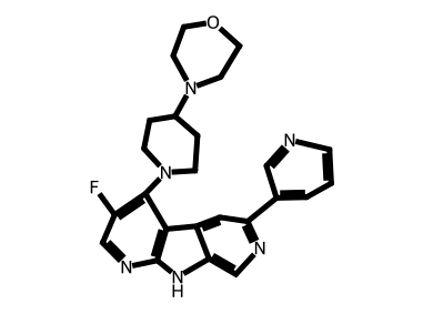 Fc1cnc2[nH]c3cnc(-c4cccnc4)cc3c2c1N1CCC(N2CCOCC2)CC1